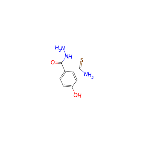 NC=S.NNC(=O)c1ccc(O)cc1